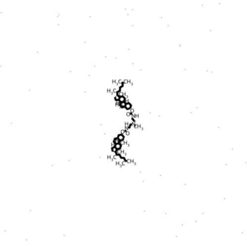 CC(C)CCC[C@@H](C)[C@H]1CCC2[C@@H]3CC=C4CC(OC(=O)NCCN(C)CCNC(=O)O[C@H]5CC[C@@]6(C)C(=CC[C@H]7C8CC[C@H]([C@H](C)CCCC(C)C)[C@@]8(C)CC[C@@H]76)C5)CC[C@]4(C)[C@H]3CC[C@@]21C